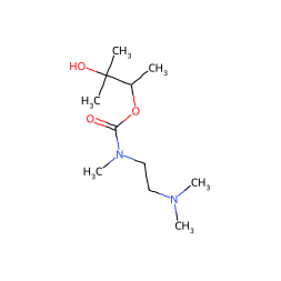 CC(OC(=O)N(C)CCN(C)C)C(C)(C)O